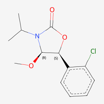 CO[C@@H]1[C@H](c2ccccc2Cl)OC(=O)N1C(C)C